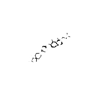 C[C@@H]1OCC2(CCN(c3cnc(Sc4ccc5ncn(CCN(C)C)c(=O)c5c4Cl)cn3)CC2)[C@@H]1N